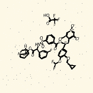 O=C(O)C(F)(F)F.O=C(O[C@@H](Cc1c(Cl)c[n+]([O-])cc1Cl)c1ccc(OC(F)F)c(OCC2CC2)c1)c1cccc(S(=O)(=O)NC(C(=O)O[C@H]2CN3CCC2CC3)c2cccc(F)c2)c1